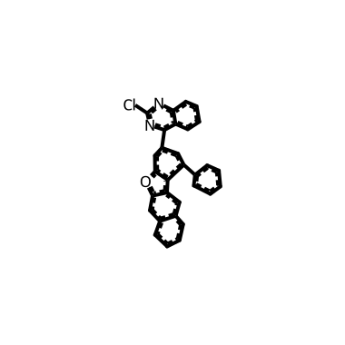 Clc1nc(-c2cc(-c3ccccc3)c3c(c2)oc2cc4ccccc4cc23)c2ccccc2n1